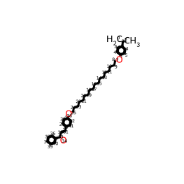 C=C(C)c1ccc(OCCCCCCCCCCCCCCCCCCOc2ccc(/C=C/C(=O)c3ccccc3)cc2)cc1